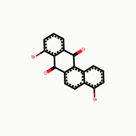 O=C1c2ccc3c(Br)cccc3c2C(=O)c2cccc(Br)c21